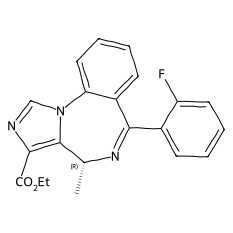 CCOC(=O)c1ncn2c1[C@@H](C)N=C(c1ccccc1F)c1ccccc1-2